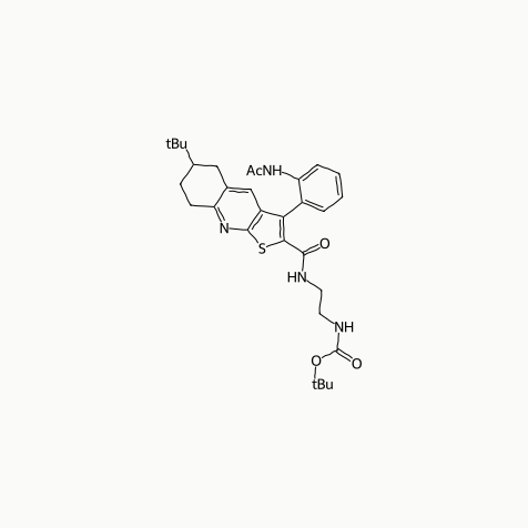 CC(=O)Nc1ccccc1-c1c(C(=O)NCCNC(=O)OC(C)(C)C)sc2nc3c(cc12)CC(C(C)(C)C)CC3